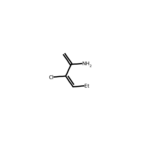 C=C(N)/C(Cl)=C\CC